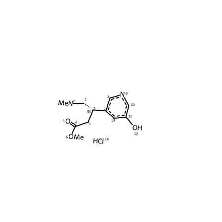 CNC[C@@H](CC(=O)OC)c1cncc(O)c1.Cl